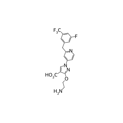 NCCOc1nn(-c2ccnc(Cc3cc(F)cc(C(F)(F)F)c3)c2)cc1C(=O)O